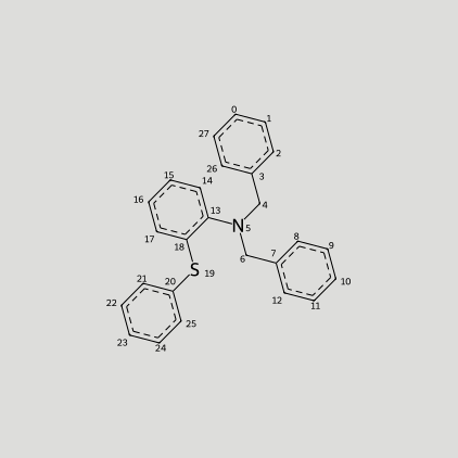 c1ccc(CN(Cc2ccccc2)c2ccccc2Sc2ccccc2)cc1